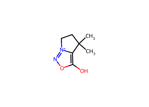 CC1(C)CC[n+]2noc(O)c21